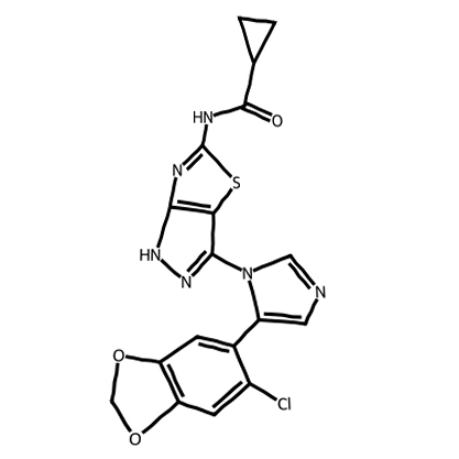 O=C(Nc1nc2[nH]nc(-n3cncc3-c3cc4c(cc3Cl)OCO4)c2s1)C1CC1